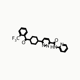 O=C(Nc1ccccn1)c1ccc(C2CCC(C(=O)c3ccccc3C(F)(F)F)CC2)nn1